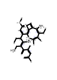 BC/C(C(=C)/C(C)=C\C(=C)C)=C(/NC)C(CC)C(=C/C(=C)SC)/C1=C2\CC=C2/C(N)=C(CC)\C(C)=C(\C)S1